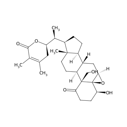 CC1=C(C)C(=O)O[C@@H]([C@@H](C)[C@H]2CC[C@H]3[C@@H]4C[C@H]5O[C@]56[C@@H](O)CCC(=O)[C@]6(CO)[C@H]4CC[C@]23C)C1